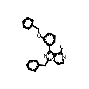 Clc1nccn2c(Cc3ccccc3)nc(-c3cccc(OCc4ccccc4)c3)c12